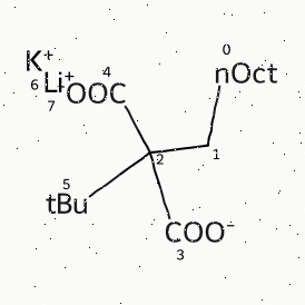 CCCCCCCCCC(C(=O)[O-])(C(=O)[O-])C(C)(C)C.[K+].[Li+]